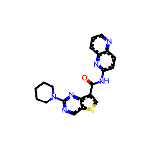 O=C(Nc1ccc2ncccc2n1)c1csc2cnc(N3CCCCC3)nc12